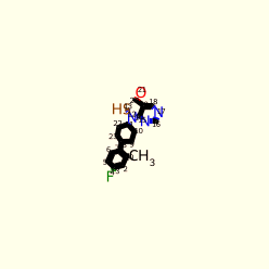 Cc1cc(F)ccc1C1CCC(N(S)c2ncncc2C=O)CC1